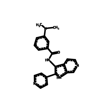 CN(C)c1cccc(C(=O)Nc2c(-c3ccncc3)[nH]c3cnccc23)c1